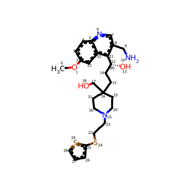 COc1ccc2ncc(CN)c([C@H](O)CCC3(CO)CCN(CCSc4cccs4)CC3)c2c1